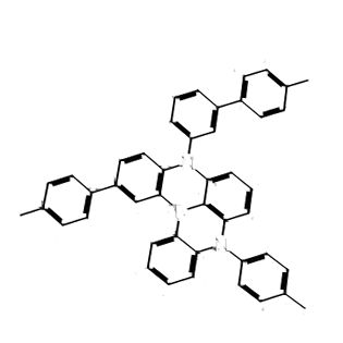 Cc1ccc(-c2cccc(N3c4ccc(-c5ccc(C)cc5)cc4B4c5ccccc5N(c5ccc(C)cc5)c5cccc3c54)c2)cc1